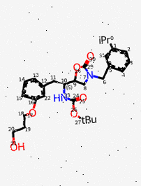 CC(C)c1cccc(CN2CC([C@H](Cc3cccc(OCCCO)c3)NC(=O)OC(C)(C)C)OC2=O)c1